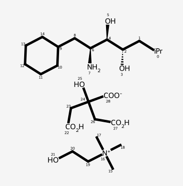 CC(C)C[C@H](O)[C@H](O)[C@@H](N)CC1CCCCC1.C[N+](C)(C)CCO.O=C(O)CC(O)(CC(=O)O)C(=O)[O-]